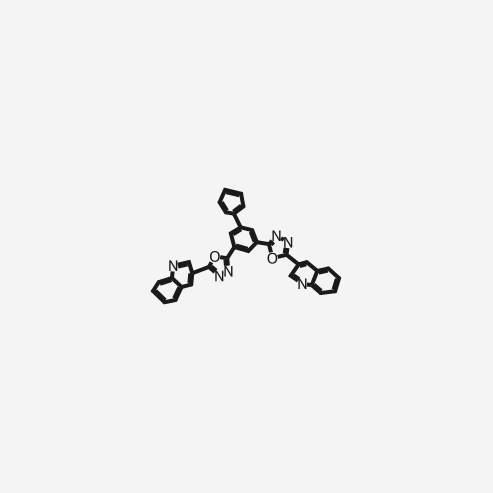 c1ccc(-c2cc(-c3nnc(-c4cnc5ccccc5c4)o3)cc(-c3nnc(-c4cnc5ccccc5c4)o3)c2)cc1